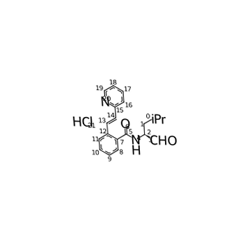 CC(C)C[C@@H](C=O)NC(=O)c1ccccc1/C=C/c1ccccn1.Cl